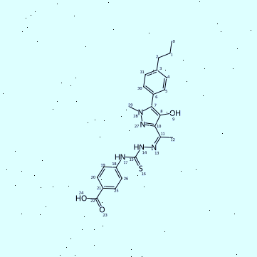 CCCc1ccc(-c2c(O)c(/C(C)=N\NC(=S)Nc3ccc(C(=O)O)cc3)nn2C)cc1